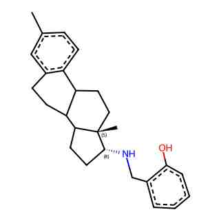 Cc1ccc2c(c1)CCC1C2CC[C@@]2(C)C1CC[C@H]2NCc1ccccc1O